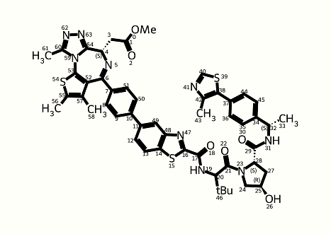 COC(=O)C[C@@H]1N=C(c2ccc(-c3ccc4sc(C(=O)NC(C(=O)N5C[C@H](O)C[C@H]5C(=O)N[C@@H](C)c5ccc(-c6scnc6C)cc5)C(C)(C)C)nc4c3)cc2)c2c(sc(C)c2C)-n2c(C)nnc21